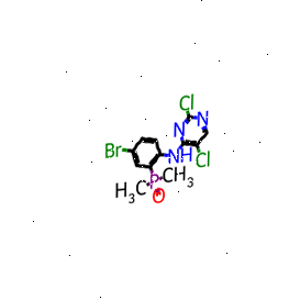 CP(C)(=O)c1cc(Br)ccc1Nc1nc(Cl)ncc1Cl